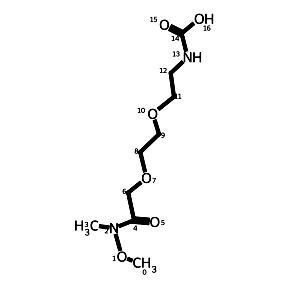 CON(C)C(=O)COCCOCCNC(=O)O